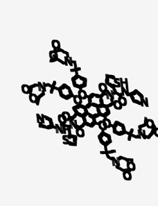 CC(C)(CN(CC1CO1)CC1CO1)c1ccc(Oc2cc3c4c(cc(Oc5ccc(C(C)(C)CN(CC6CO6)CC6CO6)cc5)c5c6c(Oc7ccc(C(C)(C)CN(CC8CO8)CC8CO8)cc7)cc7c8c(cc(Oc9ccc(C(C)(C)CN(CC%10CO%10)CC%10CO%10)cc9)c(c2c45)c86)C(=O)N(C(C(=O)Nc2ccncc2)c2cccs2)C7=O)C(=O)N(C(C(=O)Nc2ccncc2)c2cccs2)C3=O)cc1